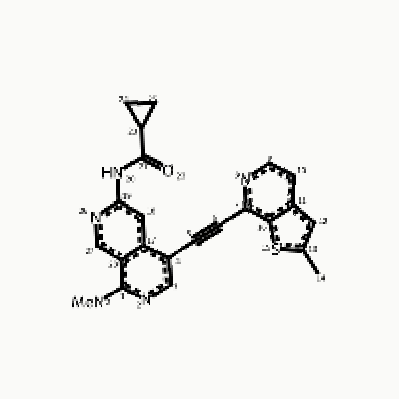 CNc1ncc(C#Cc2nccc3cc(C)sc23)c2cc(NC(=O)C3CC3)ncc12